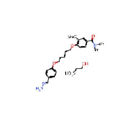 COc1cc(C(=O)N(C(C)C)C(C)C)ccc1OCCCCCOc1ccc(C=NN)cc1.O=S(=O)(O)CCO